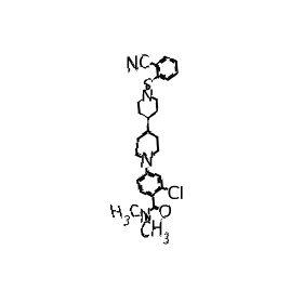 CN(C)C(=O)c1ccc(N2CCC(C3CCN(Sc4ccccc4C#N)CC3)CC2)cc1Cl